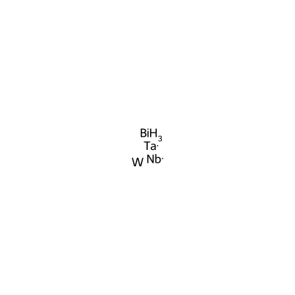 [BiH3].[Nb].[Ta].[W]